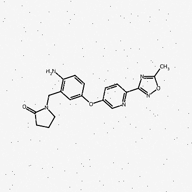 Cc1nc(-c2ccc(Oc3ccc(N)c(CN4CCCC4=O)c3)cn2)no1